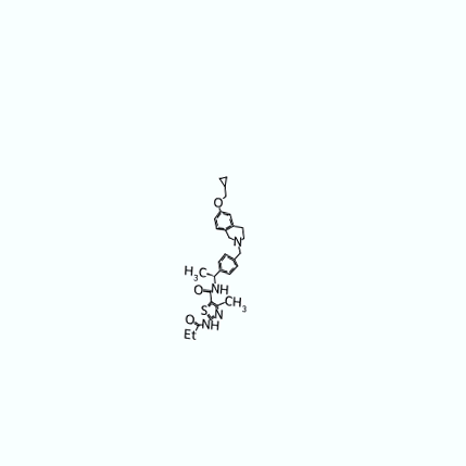 CCC(=O)Nc1nc(C)c(C(=O)N[C@@H](C)c2ccc(CN3CCc4cc(OCC5CC5)ccc4C3)cc2)s1